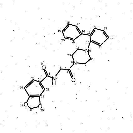 O=C(NCC(=O)N1CCN(c2ccccc2-c2ccccc2)CC1)c1ccc2c(c1)OCO2